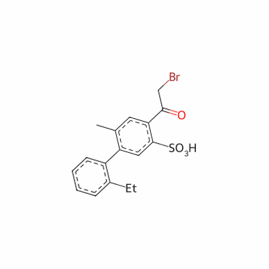 CCc1ccccc1-c1cc(S(=O)(=O)O)c(C(=O)CBr)cc1C